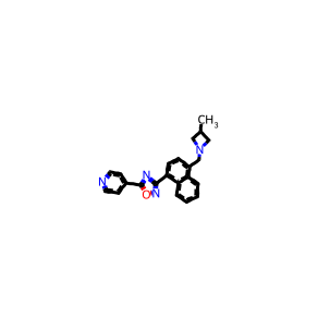 CC1CN(Cc2ccc(-c3noc(-c4ccncc4)n3)c3ccccc23)C1